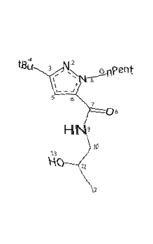 CCCCCn1nc(C(C)(C)C)cc1C(=O)NCC(C)O